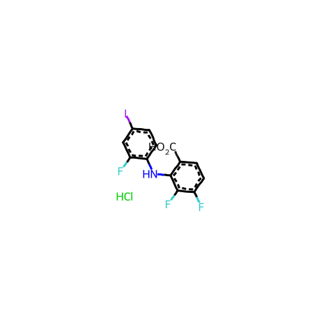 Cl.O=C(O)c1ccc(F)c(F)c1Nc1ccc(I)cc1F